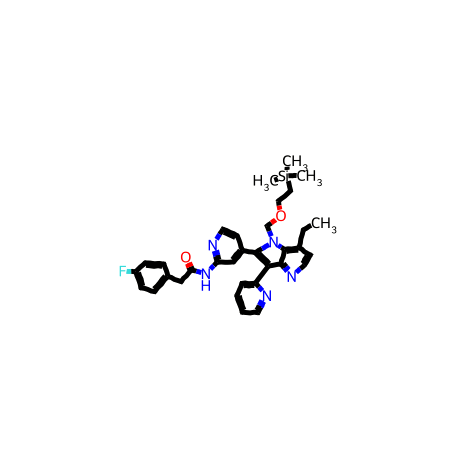 CCc1ccnc2c(-c3ccccn3)c(-c3ccnc(NC(=O)Cc4ccc(F)cc4)c3)n(COCC[Si](C)(C)C)c12